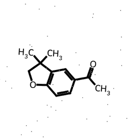 CC(=O)c1ccc2c(c1)C(C)(C)CO2